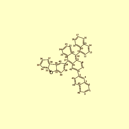 c1ccc2cc(-c3ccc4c(-c5cccc6ccccc56)c5ccccc5c(-c5ccc6oc7ccccc7c6c5)c4c3)ccc2c1